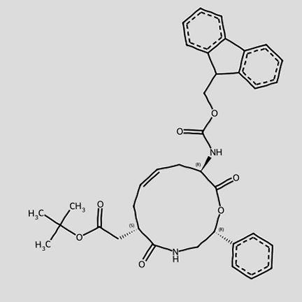 CC(C)(C)OC(=O)C[C@@H]1CC=CC[C@@H](NC(=O)OCC2c3ccccc3-c3ccccc32)C(=O)O[C@H](c2ccccc2)CNC1=O